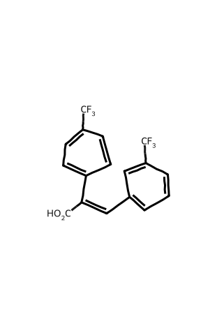 O=C(O)C(=Cc1cccc(C(F)(F)F)c1)c1ccc(C(F)(F)F)cc1